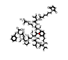 C=C(CC)[C@@H]([C@@H](CC(=O)N1CCC[C@H]1[C@H](OC)[C@@H](C)C(=O)N[C@@H](Cc1ccccc1)C(=O)O)OC)N(C)C(=O)[C@@H](NC(=O)[C@H](C(C)C)N(C)CCc1ccc(N(C)C(=O)[C@H](CCCNC(N)=O)NC(=O)[C@@H](NC(=O)CCCCCN2C(=O)C=CC2=O)C(C)C)cc1)C(C)C